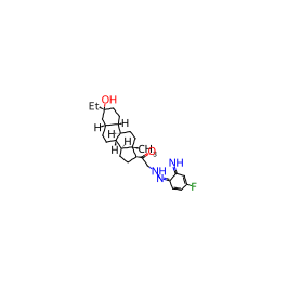 CC[C@@]1(O)CC[C@H]2[C@H](CC[C@@H]3[C@@H]2CC[C@]2(C)[C@@H](C(=O)CN/N=C4/C=CC(F)=CC4=N)CC[C@@H]32)C1